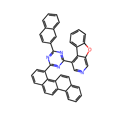 c1ccc2cc(-c3nc(-c4cccc5ccc6c7ccccc7ccc6c45)nc(-c4cncc5oc6ccccc6c45)n3)ccc2c1